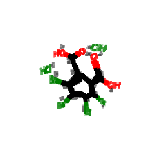 Cl.Cl.O=C(O)c1c(Br)c(Br)c(Br)c(Br)c1C(=O)O